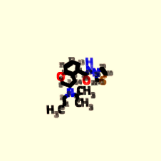 CCCN(C(C)C)[C@H]1COc2cccc(C(=O)NN3C=CSC3)c2C1